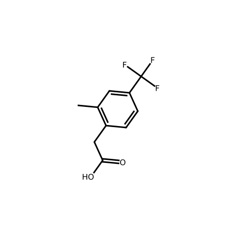 Cc1cc(C(F)(F)F)ccc1CC(=O)O